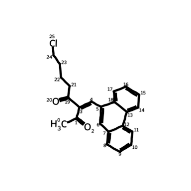 CC(=O)/C(=C\c1cc2ccccc2c2ccccc12)C(=O)CCCCCl